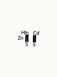 [S]=[Cd].[S]=[InH].[Zn]